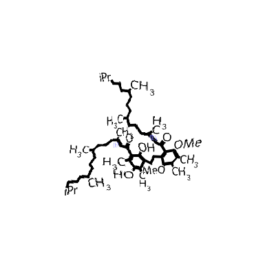 COc1c(C)c(C)c(OC)c(C(=O)/C=C(\C)CCCC(C)CCCC(C)CCCC(C)C)c1CCc1c(C)c(O)c(C)c(C(=O)/C=C(\C)CCCC(C)CCCC(C)CCCC(C)C)c1O